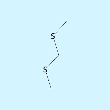 CSCSC